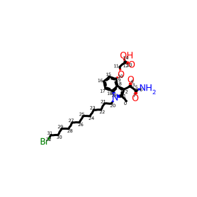 Cc1c(C(=O)C(N)=O)c2c(OCC(=O)O)cccc2n1CCCCCCCCCCCCBr